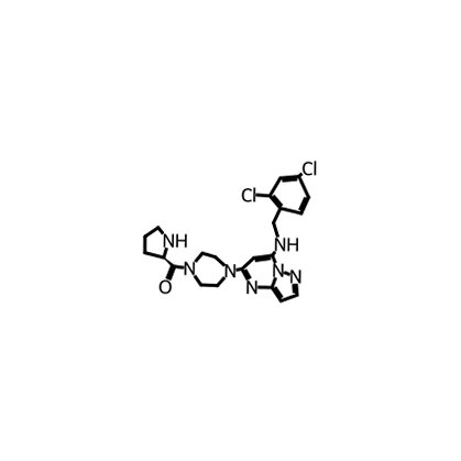 O=C([C@H]1CCCN1)N1CCN(c2cc(NCc3ccc(Cl)cc3Cl)n3nccc3n2)CC1